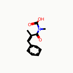 CC(=Cc1ccccc1)C(=O)N(C)C(=O)O